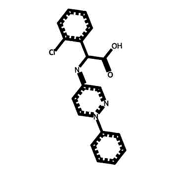 O=C(O)C(N=c1ccn(-c2ccccc2)nc1)c1ccccc1Cl